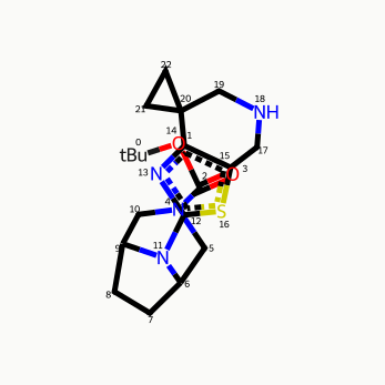 CC(C)(C)OC(=O)N1CC2CCC(C1)N2c1nc2c(s1)CNCC21CC1